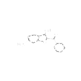 Cc1ccc2c(C)c(C(=O)c3ccccc3)oc2c1